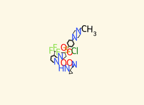 CCN1CCN(c2ccc(S(=O)(=O)[C@@H]3C[C@H](OC(=O)NC4(C#N)CC4)N(c4ncccc4C(F)(F)F)C3)c(Cl)c2)CC1